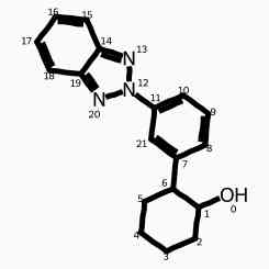 OC1CCCCC1c1cccc(-n2nc3ccccc3n2)c1